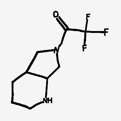 O=C(N1CC2CCCNC2C1)C(F)(F)F